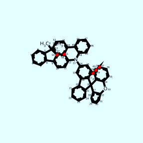 CC1(C)c2ccccc2-c2ccc(N(c3ccc4c(c3)-c3ccccc3C43c4ccccc4Oc4ccc5ccccc5c43)c3ccccc3-c3ccccc3)cc21